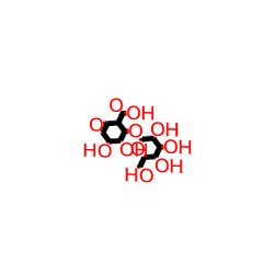 O=C(O)C1C(OC2OC(CO)C(O)C(O)C2O)C(O)C(O)C2OC21